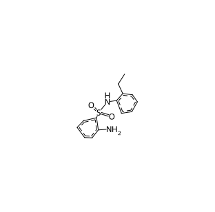 CCc1ccccc1NS(=O)(=O)c1ccccc1N